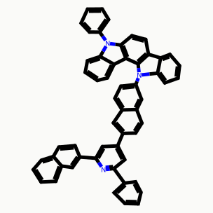 c1ccc(-c2cc(-c3ccc4cc(-n5c6ccccc6c6ccc7c(c8ccccc8n7-c7ccccc7)c65)ccc4c3)cc(-c3ccc4ccccc4c3)n2)cc1